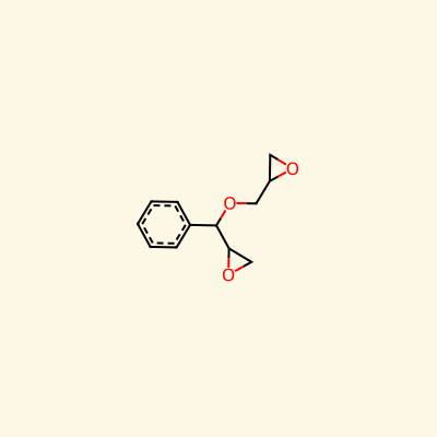 c1ccc(C(OCC2CO2)C2CO2)cc1